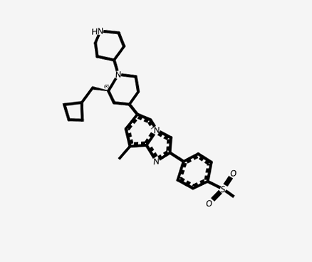 Cc1cc(C2CCN(C3CCNCC3)[C@H](CC3CCC3)C2)cn2cc(-c3ccc(S(C)(=O)=O)cc3)nc12